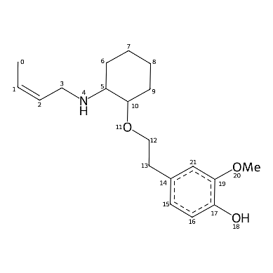 C/C=C\CNC1CCCCC1OCCc1ccc(O)c(OC)c1